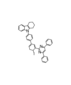 IC1CC=C(c2ccc(-n3c4c(c5ccccc53)CCCC4)cc2)C=C1c1nc(-c2ccccc2)cc(-c2ccccc2)n1